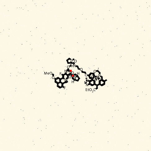 C#Cc1c(F)ccc2cc(OCOC)cc(-c3ncc4c(N5C[C@H]6CC[C@@H](C5)N6C(=O)OC(C)(C)C)nc(OC[C@@]5(C(=O)NCCOCCOc6ccc7c(c6)O[C@H](C)CN(Cc6cc(C(CC(=O)OCC)c8cc(OC)c9c(c8)nnn9C)ccc6C)S7(=O)=O)CCCN5C)nc4c3F)c12